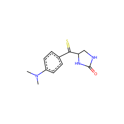 CN(C)c1ccc(C(=S)C2CNC(=O)N2)cc1